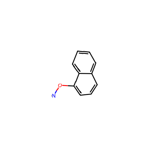 [N]Oc1cccc2ccccc12